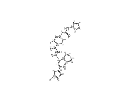 Cc1cc(CC(=O)Nc2nccs2)ccc1C(=O)N[C@H](C)c1cc(-c2cnn(C)c2)nc2ccccc12